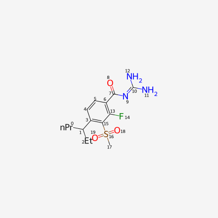 CCCC(CC)c1ccc(C(=O)N=C(N)N)c(F)c1S(C)(=O)=O